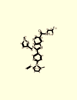 C=C[C@H]1CC[C@H](C)N1c1ccc(-c2nc3cc(C(=O)NCC(F)F)cnc3n2Cc2ccn(C)n2)cn1